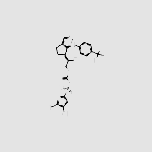 O=C(NCC(F)=C1CCc2cnn(-c3ccc(C(F)(F)F)cc3)c21)NS(=O)(=O)c1cc(Cl)c(Cl)s1